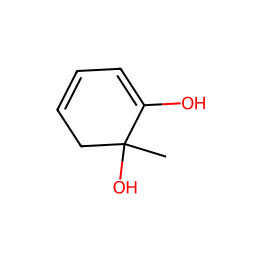 CC1(O)CC=CC=C1O